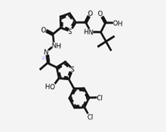 C/C(=N/NC(=O)c1ccc(C(=O)NC(C(=O)O)C(C)(C)C)s1)c1csc(-c2ccc(Cl)c(Cl)c2)c1O